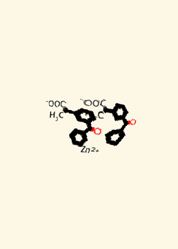 CC(C(=O)[O-])c1cccc(C(=O)c2ccccc2)c1.CC(C(=O)[O-])c1cccc(C(=O)c2ccccc2)c1.[Zn+2]